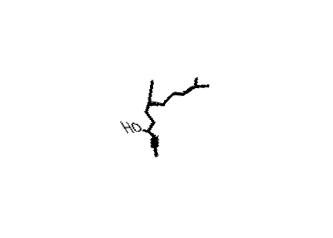 CC#CC(O)CCC(C)CCC=C(C)C